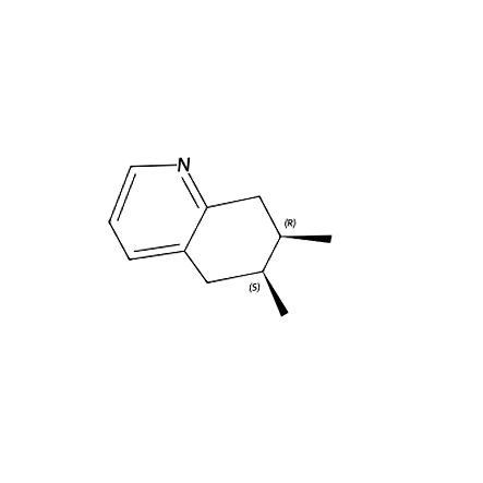 C[C@@H]1Cc2ncccc2C[C@@H]1C